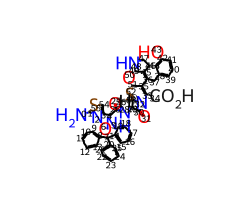 Nc1nc(C(=NOC(c2ccccc2)(c2ccccc2)c2ccccc2)C(=O)N[C@@H]2C(=O)N3C(C(=O)O)=C(C(Cc4cccc(O)c4)=C4CCNC4=O)CS[C@H]23)cs1